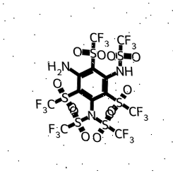 Nc1c(S(=O)(=O)C(F)(F)F)c(NS(=O)(=O)C(F)(F)F)c(S(=O)(=O)C(F)(F)F)c(N(S(=O)(=O)C(F)(F)F)S(=O)(=O)C(F)(F)F)c1S(=O)(=O)C(F)(F)F